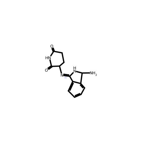 NC1N/C(=N\C2CCC(=O)NC2=O)c2ccccc21